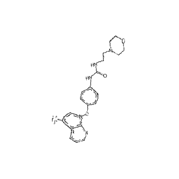 O=C(NCCN1CCOCC1)Nc1ccc(On2cc(C(F)(F)F)c3cccnc32)cc1